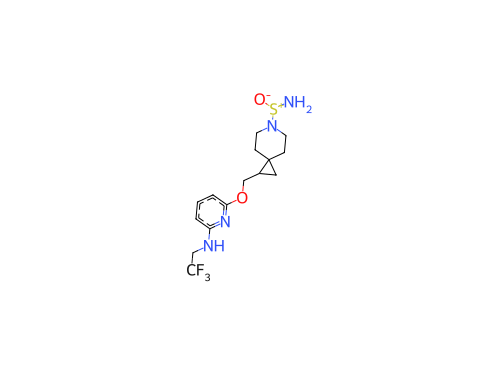 N[S+]([O-])N1CCC2(CC1)CC2COc1cccc(NCC(F)(F)F)n1